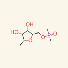 C[C@@H]1O[C@H](COP(C)(C)=O)[C@@H](O)[C@H]1O